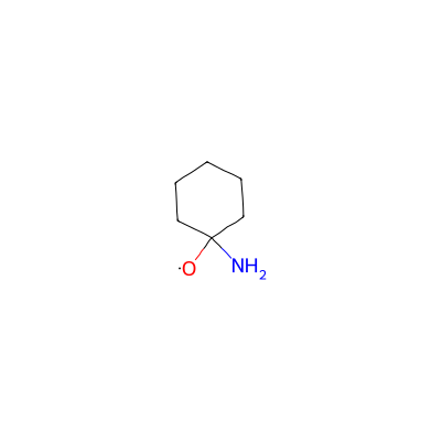 NC1([O])CCCCC1